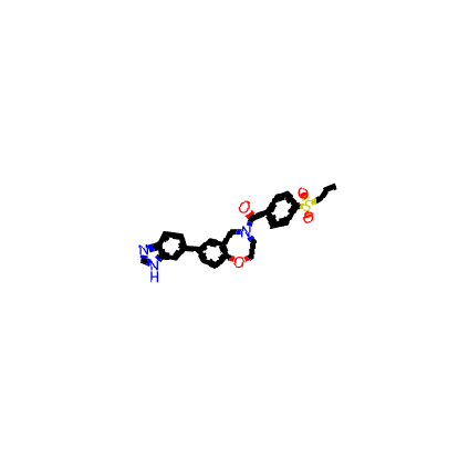 CCCS(=O)(=O)c1ccc(C(=O)N2CCOc3ccc(-c4ccc5nc[nH]c5c4)cc3C2)cc1